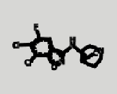 Fc1cc2c(NC3CN4CCC3CC4)noc2c(Cl)c1Cl